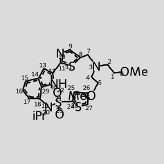 COCCN(CCOC)Cc1cnc(-c2cc3cccc(N(C(C)C)S(=O)(=O)c4cccs4)c3[nH]2)s1